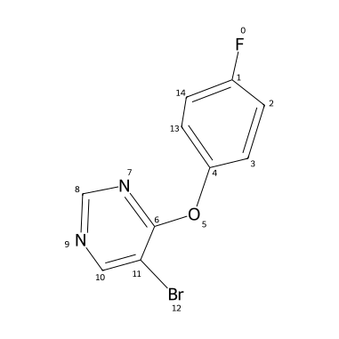 Fc1ccc(Oc2ncncc2Br)cc1